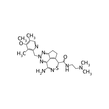 COc1c(C)cnc(CN2N=C3CCC4=C3C(=N2)C(N)=NSC4C(=O)NCCN(C)C)c1C